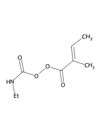 CC=C(C)C(=O)OOC(=O)NCC